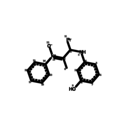 CC(C(Nc1cccc(O)c1)C(C)C)=[N+]([O-])c1ccccc1